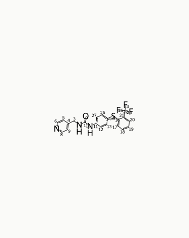 O=C(NCc1ccncc1)Nc1ccc(Sc2ccccc2C(F)(F)F)cc1